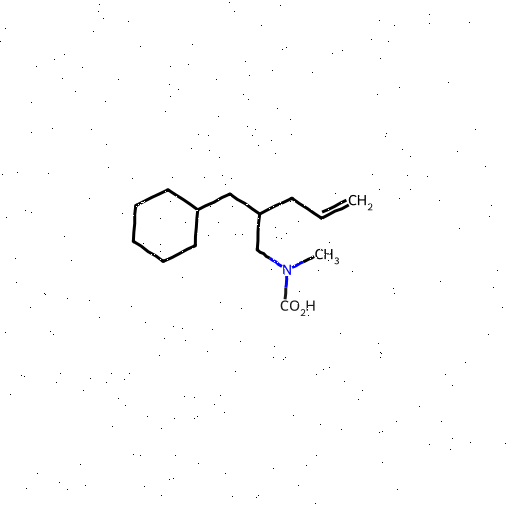 C=CCC(CC1CCCCC1)CN(C)C(=O)O